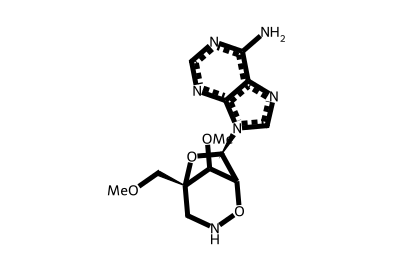 COC[C@]12CNOC(C1OC)[C@H](n1cnc3c(N)ncnc31)O2